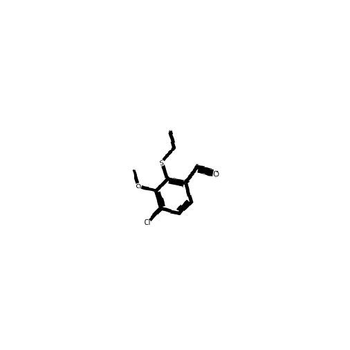 CCSc1c(C=O)ccc(Cl)c1OC